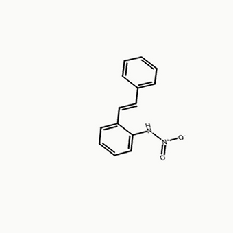 O=[N+]([O-])Nc1ccccc1/C=C/c1ccccc1